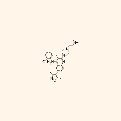 Cc1noc(C)c1-c1ccc2nc(N3CCN(CCN(C)C)CC3)c(Cc3cccc(Cl)c3)c(N)c2c1